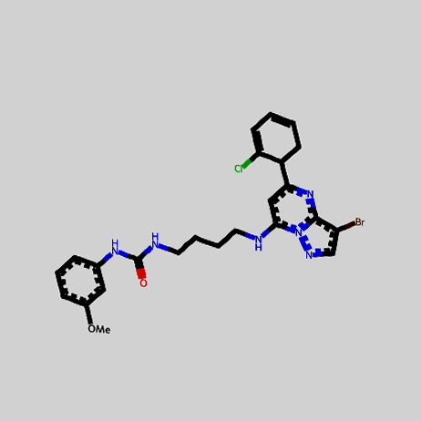 COc1cccc(NC(=O)NCCCCNc2cc(C3CC=CC=C3Cl)nc3c(Br)cnn23)c1